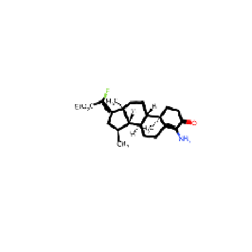 CCOC(=O)C(F)=C1C[C@H](C)[C@H]2[C@@H]3CCC4=C(N)C(=O)CC[C@]4(C)[C@H]3CC[C@]12C